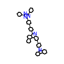 c1ccc(-c2nc(-c3ccccc3)nc(-c3ccc(-c4ccc(-c5nc6ccc(-c7ccc(-n8c9ccccc9c9ccccc98)cc7)cc6c6c5ccc5ccccc56)cc4)cc3)n2)cc1